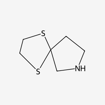 C1CC2(CN1)SCCS2